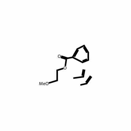 C=CC.C=CC.COCCOC(=O)c1ccccc1